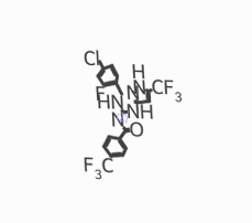 O=C(/N=C(/NCc1ccc(Cl)cc1F)Nc1cc(C(F)(F)F)[nH]n1)c1ccc(C(F)(F)F)cc1